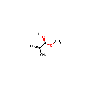 C=C(C)C(=O)OC.[H+]